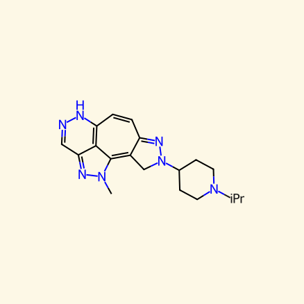 CC(C)N1CCC(N2Cc3c(ccc4[nH]ncc5nn(C)c3c5=4)=N2)CC1